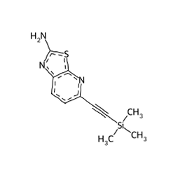 C[Si](C)(C)C#Cc1ccc2nc(N)sc2n1